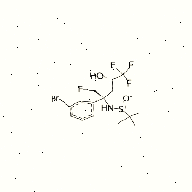 CC(C)(C)[S@@+]([O-])N[C@@](CF)(C[C@H](O)C(F)(F)F)c1cccc(Br)c1